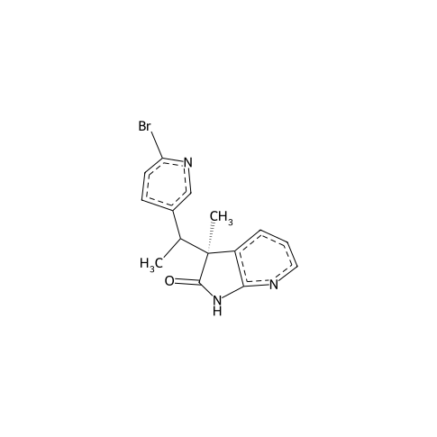 CC(c1ccc(Br)nc1)[C@]1(C)C(=O)Nc2ncccc21